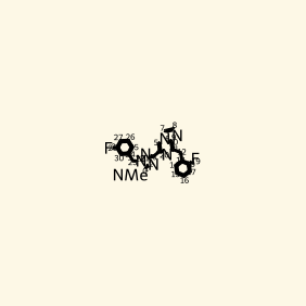 CNc1nc(-c2cn3ccnc3c(Cc3ccccc3F)n2)nn1Cc1cccc(F)c1